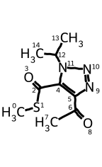 CSC(=O)c1c(C(C)=O)nnn1C(C)C